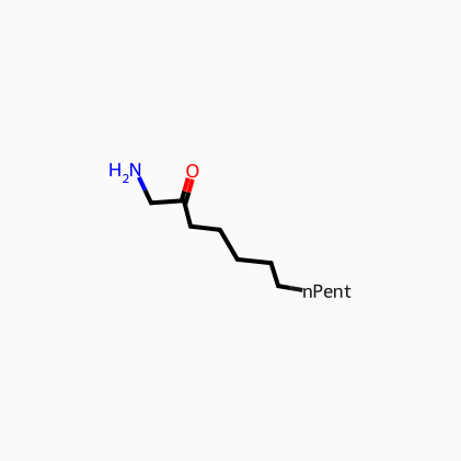 CCCCCCCCCCC(=O)CN